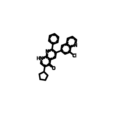 O=c1c(C2CCCC2)c[nH]c2nc(-c3ccccc3)c(-c3cc(Cl)c4ncccc4c3)cc12